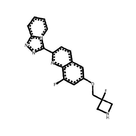 Fc1cc(OCC2(F)CNC2)cc2ccc(-c3nnc4ccccn34)nc12